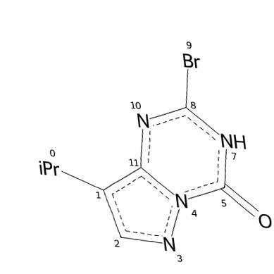 CC(C)c1cnn2c(=O)[nH]c(Br)nc12